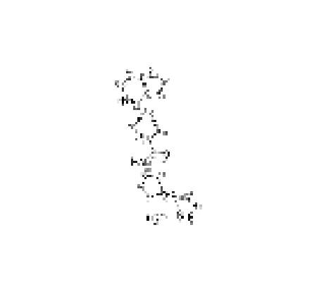 Cn1nnnc1N1CC[C@H](NC(=O)c2ccc(-c3nccc4occc34)cc2)C1